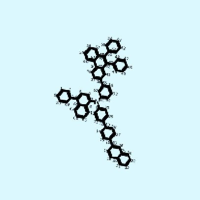 c1ccc(-c2ccc(N(c3ccc(-c4ccc(-c5ccc6ccccc6c5)cc4)cc3)c3cccc(-c4ccc5c(c4)c(-c4ccccc4)c(-c4ccccc4)c4ccccc45)c3)c3ccccc23)cc1